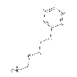 O=CCOCCCc1ccccc1